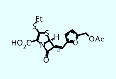 CCSC1=C(C(=O)O)N2C(=O)/C(=C/c3ccc(COC(C)=O)o3)[C@H]2S1